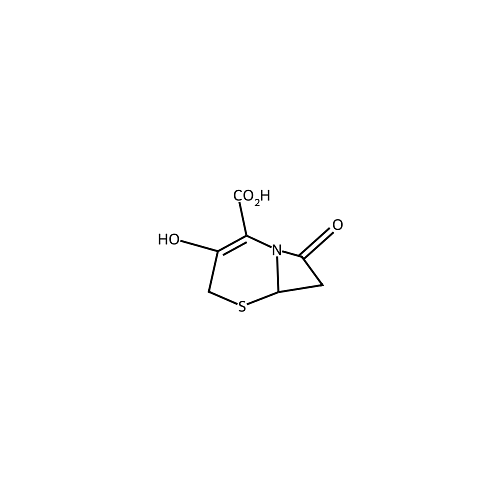 O=C(O)C1=C(O)CSC2CC(=O)N12